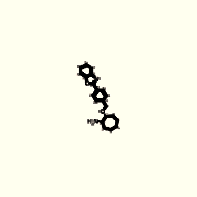 N[C@@H]1CCCCC[C@H]1OCc1ccc(-c2nc3ccccc3o2)cc1